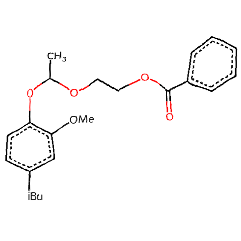 CCC(C)c1ccc(OC(C)OCCOC(=O)c2ccccc2)c(OC)c1